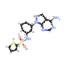 Nc1ncnc2c1cnn2-c1cccc(NS(=O)(=O)c2cccs2)c1